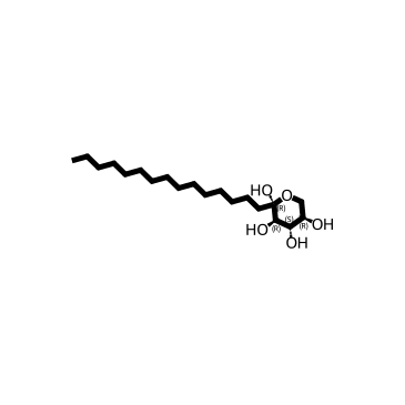 CCCCCCCCCCCCCCC[C@@]1(O)OC[C@@H](O)[C@H](O)[C@H]1O